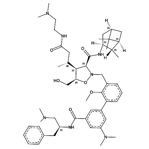 COc1c(CN2O[C@@H](CO)[C@@H]([C@H](C)CC(=O)NCCN(C)C)[C@H]2C(=O)N[C@H]2C[C@H]3C[C@@H]([C@@H]2C)C3(C)C)cccc1-c1cc(C(=O)N[C@@H](Cc2ccccc2)CN(C)C)cc(N(C)C)c1